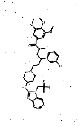 COc1cc(C(=O)N(C)CC(CCN2CCC(Nc3nc4ccccc4n3CC(F)(F)F)CC2)c2cccc(Cl)c2)cc(OC)c1OC